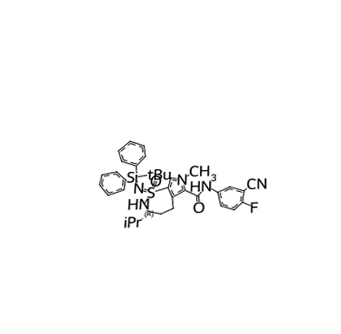 CC(C)[C@H]1CCc2c(cn(C)c2C(=O)Nc2ccc(F)c(C#N)c2)S(=O)(=N[Si](c2ccccc2)(c2ccccc2)C(C)(C)C)N1